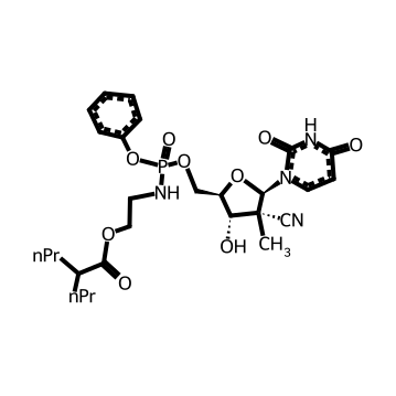 CCCC(CCC)C(=O)OCCNP(=O)(OC[C@H]1O[C@@H](n2ccc(=O)[nH]c2=O)[C@](C)(C#N)[C@@H]1O)Oc1ccccc1